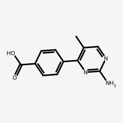 Cc1cnc(N)nc1-c1ccc(C(=O)O)cc1